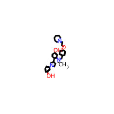 CCN(Cc1ccc(OCCN2CCCCCC2)cc1)c1cc(O)ccc1C1CCN(c2cccc(O)c2)C1